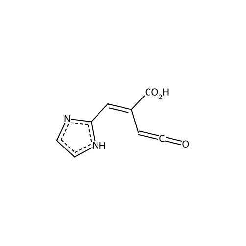 O=C=CC(=Cc1ncc[nH]1)C(=O)O